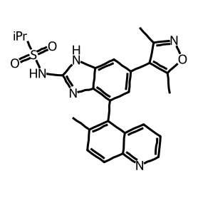 Cc1ccc2ncccc2c1-c1cc(-c2c(C)noc2C)cc2[nH]c(NS(=O)(=O)C(C)C)nc12